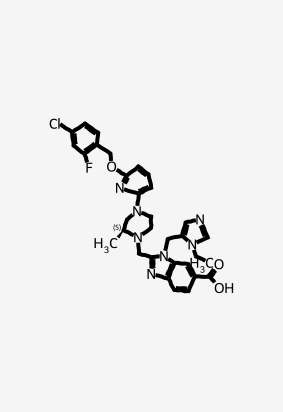 CCn1cncc1Cn1c(CN2CCN(c3cccc(OCc4ccc(Cl)cc4F)n3)C[C@@H]2C)nc2ccc(C(=O)O)cc21